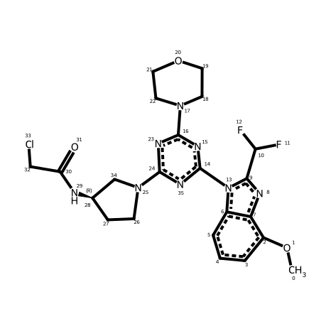 COc1cccc2c1nc(C(F)F)n2-c1nc(N2CCOCC2)nc(N2CC[C@@H](NC(=O)CCl)C2)n1